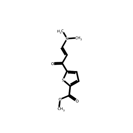 COC(=O)c1ccc(C(=O)/C=C/N(C)C)s1